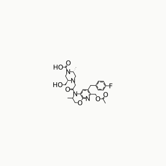 CC(=O)OCc1nc2c(cc1Cc1ccc(F)cc1)N(C(=O)CN1C[C@@H](C)N(C(=O)O)C[C@@H]1CO)C(C)CO2